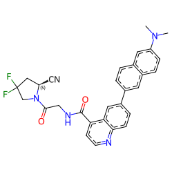 CN(C)c1ccc2cc(-c3ccc4nccc(C(=O)NCC(=O)N5CC(F)(F)C[C@H]5C#N)c4c3)ccc2c1